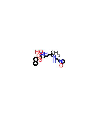 C/C(=C/CCC[C@H](Oc1cccc2ccccc12)C(=O)NO)CNCCCN1CCCC1=O